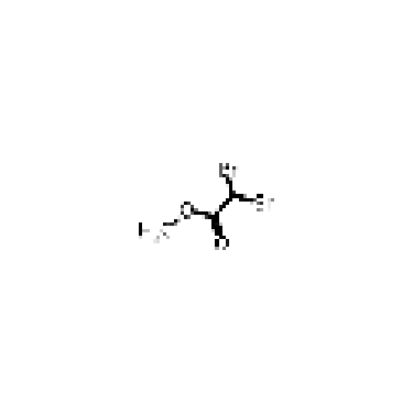 COC(=O)C(Br)Br